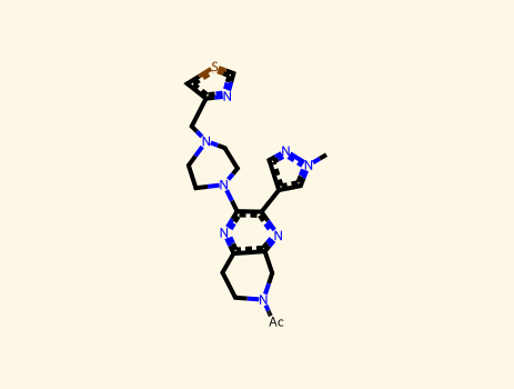 CC(=O)N1CCc2nc(N3CCN(Cc4cscn4)CC3)c(-c3cnn(C)c3)nc2C1